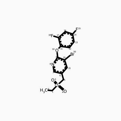 CCS(=O)(=O)Cc1cnc(Oc2ccc(F)cc2F)c(Br)c1